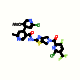 COc1cnc(Cl)cc1-c1cc(C)ncc1C(=O)Nc1nc2c(s1)CN(C(=O)c1nc(Cl)c(C(F)F)cc1F)C2